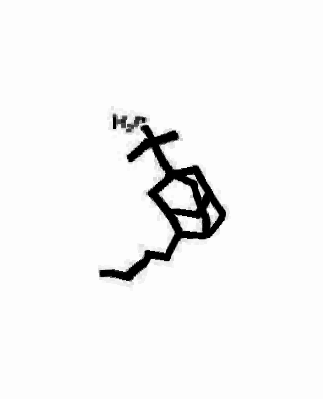 CCCCC1C2CC3CC1CC(C(C)(C)P)(C3)C2